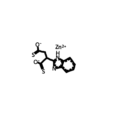 [O-]C(=S)CC(C([O-])=S)c1nc2ccccc2[nH]1.[Zn+2]